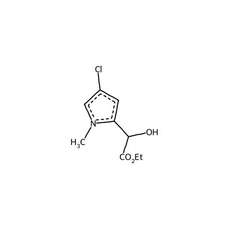 CCOC(=O)C(O)c1cc(Cl)cn1C